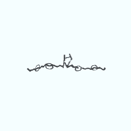 CCCCOCCCCOCCCCNCCCCOCCCCOCCCC